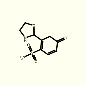 NS(=O)(=O)C1=C(C2NCCO2)CC(=O)C=C1